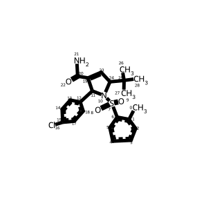 Cc1ccccc1S(=O)(=O)N1C(c2ccc(Cl)cc2)C(C(N)=O)=CC1C(C)(C)C